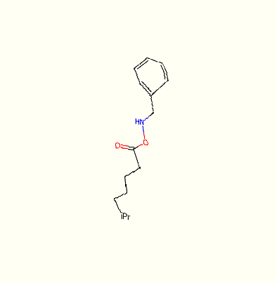 CC(C)CCCCC(=O)ONCc1ccccc1